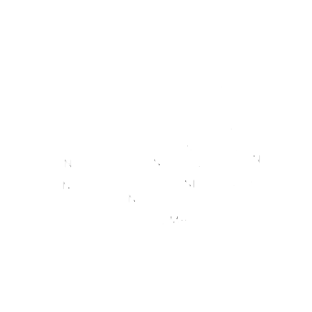 COc1nc(-c2cnn(C)c2)cnc1NC(=O)c1c(-c2ccccc2)noc1C